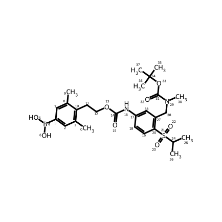 Cc1cc(B(O)O)cc(C)c1CCOC(=O)Nc1ccc(S(=O)(=O)C(C)C)c(CN(C)C(=O)OC(C)(C)C)c1